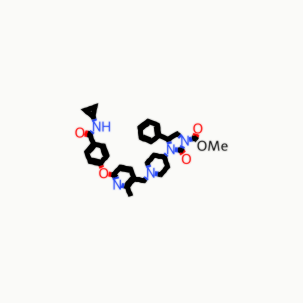 COC(=O)N1CC(c2ccccc2)N(C2CCN(Cc3ccc(Oc4ccc(C(=O)NC5CC5)cc4)nc3C)CC2)C1=O